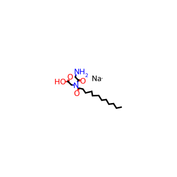 CCCCCCCCCCCC(=O)N(CC(=O)O)C(=O)CN.[Na]